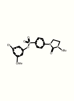 CCCCN1CCN(c2ccc(S(=O)(=O)Oc3cc(CC)cc(OC)c3)cc2)C1=O